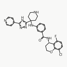 O=C(N[C@@H]1CCOc2c(Cl)ccc(F)c21)c1cccc(NC2(c3nnc(-c4ccncc4)[nH]3)CCNCC2)c1